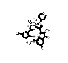 Cc1cc([C@@H](C)Nc2ccc(Cl)nc2C(=O)NS(C)(=O)=O)c2oc(-c3cnn(C4CCOCC4)c3)c(C)c(=O)c2c1